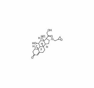 C[C@]12CCC(=O)C=C1CC[C@H]1[C@@H]3C[C@@H](OCC4CO4)[C@](O)(C(=O)CO)[C@@]3(C)C[C@H](O)[C@@]12F